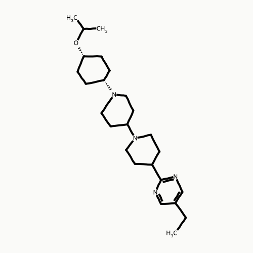 CCc1cnc(C2CCN(C3CCN([C@H]4CC[C@@H](OC(C)C)CC4)CC3)CC2)nc1